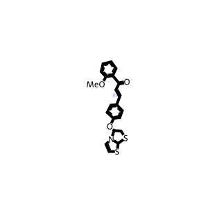 COc1ccccc1C(=O)/C=C/c1ccc(OC2CSC3SC=CN23)cc1